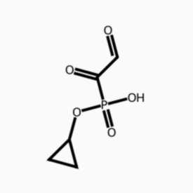 O=CC(=O)P(=O)(O)OC1CC1